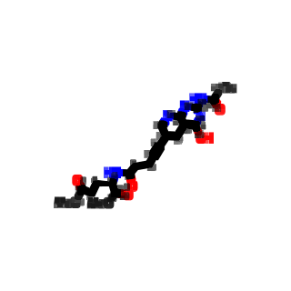 COC(=O)CC[C@@H](NC(=O)CCC#Cc1cnc2nc(NC(=O)C(C)(C)C)nc(O)c2c1)C(=O)OC